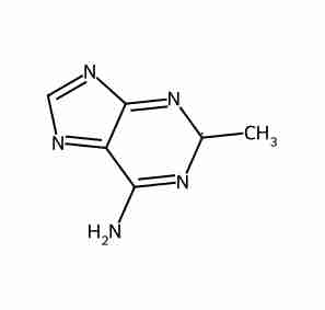 C[C]1N=C(N)C2=NC=NC2=N1